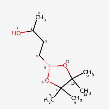 CC(O)CCB1OC(C)(C)C(C)(C)O1